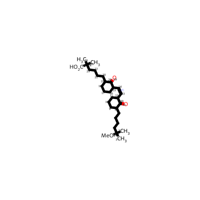 COC(C)(C)CCCCC1CCCC(/C=C\C2CCCC(CCCCC(C)(C)C(=O)O)C2=O)C1=O